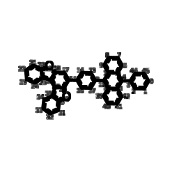 c1ccc(-c2c3ccccc3c(-c3ccc(-c4cc5oc6ccccc6c5c5c4oc4ccccc45)cc3)c3ccccc23)cc1